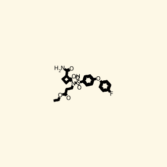 CCOC(=O)CCN(C1(O)CCC1C(N)=O)S(=O)(=O)c1ccc(Oc2ccc(F)cc2)cc1